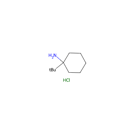 CC(C)(C)C1(N)CCCCC1.Cl